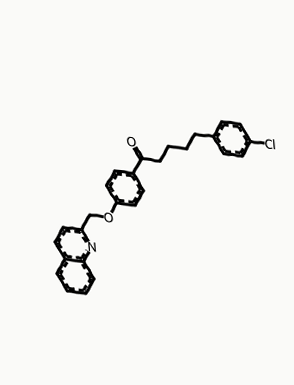 O=C(CCCCc1ccc(Cl)cc1)c1ccc(OCc2ccc3ccccc3n2)cc1